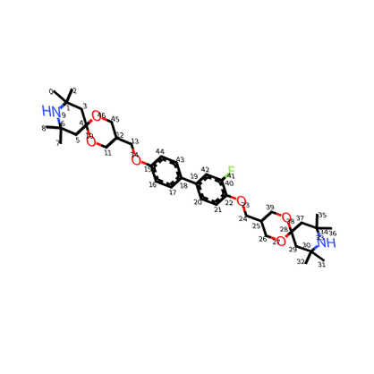 CC1(C)CC2(CC(C)(C)N1)OCC(COc1ccc(-c3ccc(OCC4COC5(CC(C)(C)NC(C)(C)C5)OC4)c(F)c3)cc1)CO2